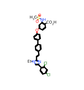 CCn1cc(-c2ccc(Cl)cc2Cl)nc1C=Cc1ccc(-c2ccc(Oc3ccc(C(=O)O)c(NS(C)(=O)=O)c3)cc2)cc1